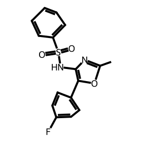 Cc1nc(NS(=O)(=O)c2ccccc2)c(-c2ccc(F)cc2)o1